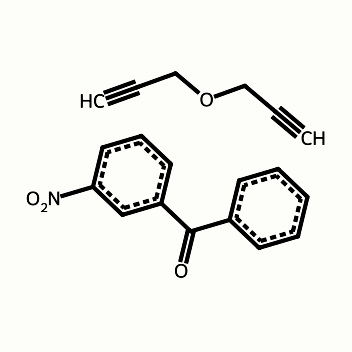 C#CCOCC#C.O=C(c1ccccc1)c1cccc([N+](=O)[O-])c1